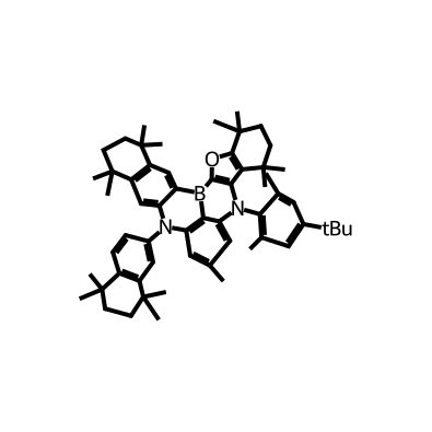 Cc1cc2c3c(c1)N(c1c(C)cc(C(C)(C)C)cc1C)c1c(oc4c1C(C)(C)CCC4(C)C)B3c1cc3c(cc1N2c1ccc2c(c1)C(C)(C)CCC2(C)C)C(C)(C)CCC3(C)C